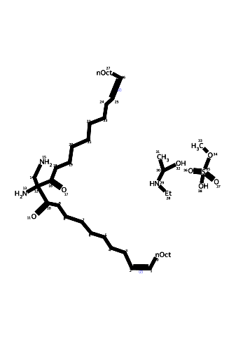 CCCCCCCC/C=C\CCCCCCCC(=O)C(N)(CN)C(=O)CCCCCCC/C=C\CCCCCCCC.CCNC(C)O.COS(=O)(=O)O